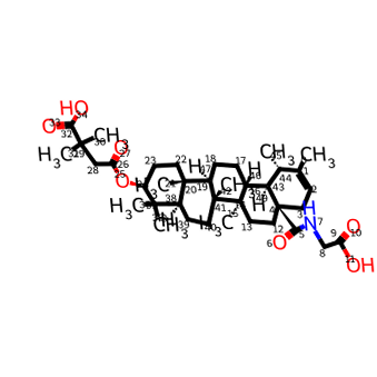 CC1=CC[C@]2(C(=O)NCC(=O)O)CC[C@]3(C)[C@H](CC[C@@H]4[C@@]5(C)CC[C@H](OC(=O)CC(C)(C)C(=O)O)C(C)(C)[C@@H]5CC[C@]43C)[C@H]2[C@@H]1C